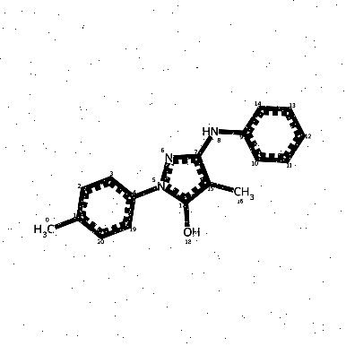 Cc1ccc(-n2nc(Nc3ccccc3)c(C)c2O)cc1